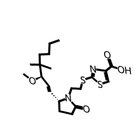 CCCCC(C)(C)[C@@H](C=C[C@H]1CCC(=O)N1CCSc1nc(C(=O)O)cs1)OC